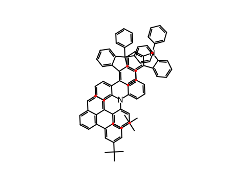 CC(C)(C)c1cc(-c2cccc3cccc(-c4ccccc4N(c4cccc(-c5cccc6c5c5ccccc5n6-c5ccccc5)c4)c4ccccc4-c4cccc5c4-c4ccccc4C5(c4ccccc4)c4ccccc4)c23)cc(C(C)(C)C)c1